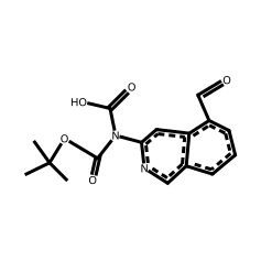 CC(C)(C)OC(=O)N(C(=O)O)c1cc2c(C=O)cccc2cn1